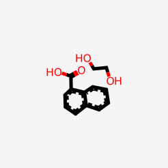 O=C(O)c1cccc2ccccc12.OCCO